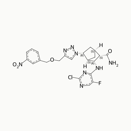 NC(=O)[C@H]1[C@H]2C[C@@H]([C@H]1Nc1nc(Cl)ncc1F)[C@H](n1cc(COCc3cccc([N+](=O)[O-])c3)nn1)C2